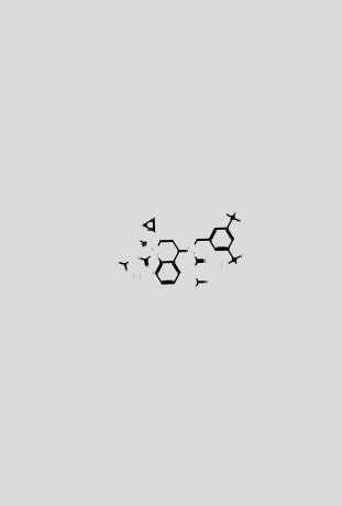 CC(C)OC(=O)N(Cc1cc(C(F)(F)F)cc(C(F)(F)F)c1)C1C[C@H](C2CC2)[N@@+](C(=O)OC(C)C)(C(F)(F)F)c2ccccc21